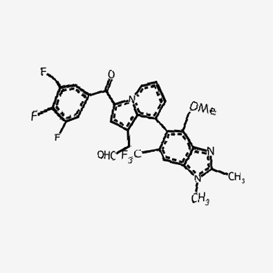 COc1c(-c2cccn3c(C(=O)c4cc(F)c(F)c(F)c4)cc(CC=O)c23)c(C(F)(F)F)cc2c1nc(C)n2C